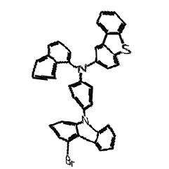 Brc1cccc2c1c1ccccc1n2-c1ccc(N(c2ccc3sc4ccccc4c3c2)c2cccc3ccccc23)cc1